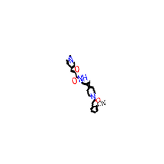 C=N/C=C\c1cc(C(=O)NCC2CC23CCN(C(=O)Cc2ccccc2C#N)CC3)oc1C